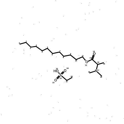 CCCCCCCCCCCCOC(=O)C(C)N(C)C.CCS(=O)(=O)O